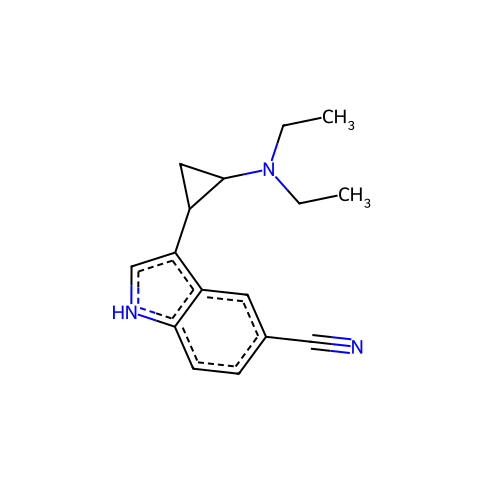 CCN(CC)C1CC1c1c[nH]c2ccc(C#N)cc12